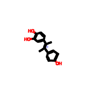 C/C(=C(/C)c1ccc(O)c(O)c1)c1ccc(O)cc1